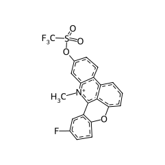 C[n+]1c2c3c(cccc3c3ccc(OS(=O)(=O)C(F)(F)F)cc31)Oc1ccc(F)cc1-2